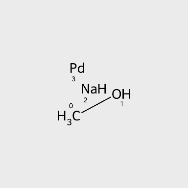 CO.[NaH].[Pd]